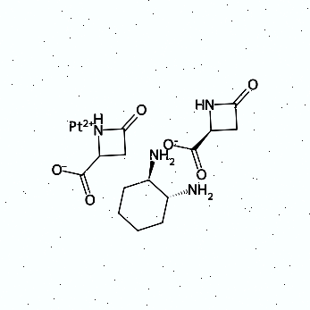 N[C@@H]1CCCC[C@H]1N.O=C1CC(C(=O)[O-])N1.O=C1C[C@@H](C(=O)[O-])N1.[Pt+2]